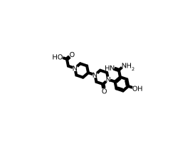 N=C(N)c1cc(O)ccc1N1CCN(C2CCN(CC(=O)O)CC2)CC1=O